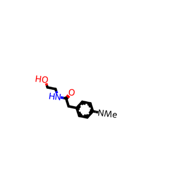 CNc1ccc(CC(=O)NCCO)cc1